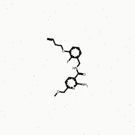 C=CCCOc1cccc(CNC(=O)c2ccc(COC)nc2N)c1F